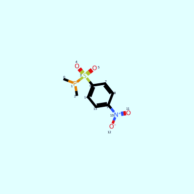 CP(C)S(=O)(=O)c1ccc([N+](=O)[O-])cc1